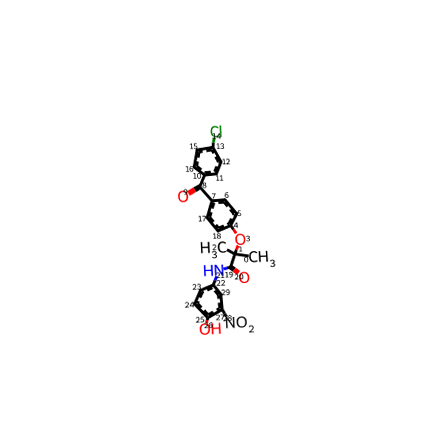 CC(C)(Oc1ccc(C(=O)c2ccc(Cl)cc2)cc1)C(=O)Nc1ccc(O)c([N+](=O)[O-])c1